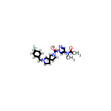 CC(=O)N(C)c1cnn(C(=O)N2CCC3(CCN(Cc4ccc(F)cc4)C3)C2)c1